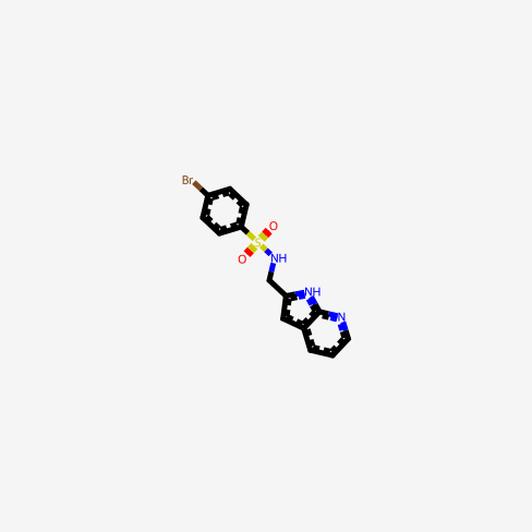 O=S(=O)(NCc1cc2cccnc2[nH]1)c1ccc(Br)cc1